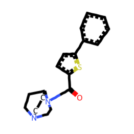 O=C(c1ccc(-c2ccccc2)s1)N1CCN2CCC1CC2